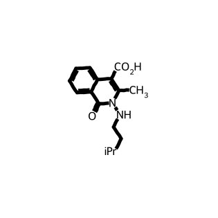 Cc1c(C(=O)O)c2ccccc2c(=O)n1NCCC(C)C